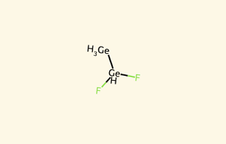 [F][GeH]([F])[GeH3]